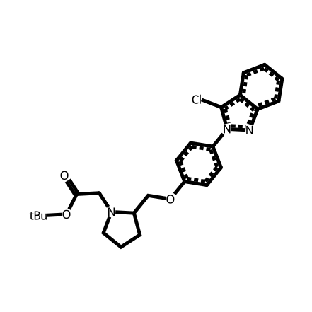 CC(C)(C)OC(=O)CN1CCCC1COc1ccc(-n2nc3ccccc3c2Cl)cc1